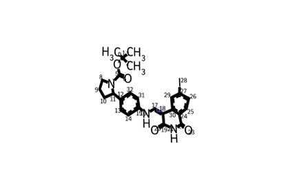 CC(C)(C)OC(=O)N1CCCC1c1ccc(N/C=C2\C(=O)NC(=O)c3ccc(I)cc32)cc1